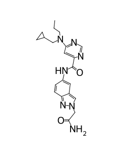 CCCN(CC1CC1)c1cc(C(=O)Nc2ccc3nn(CC(N)=O)cc3c2)ncn1